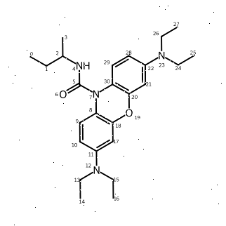 CCC(C)NC(=O)N1c2ccc(N(CC)CC)cc2Oc2cc(N(CC)CC)ccc21